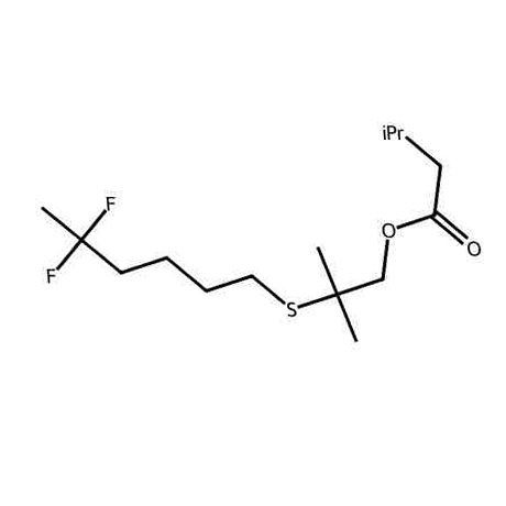 CC(C)CC(=O)OCC(C)(C)SCCCCC(C)(F)F